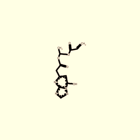 C=CC(=O)OC(C)OC(=O)Cc1cc(O)n2ncnc2n1